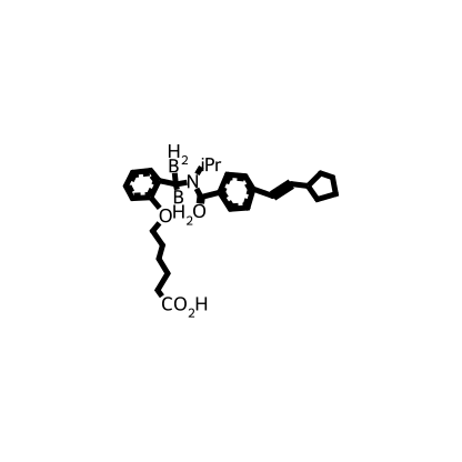 BC(B)(c1ccccc1OCCCCCC(=O)O)N(C(=O)c1ccc(C#CC2CCCC2)cc1)C(C)C